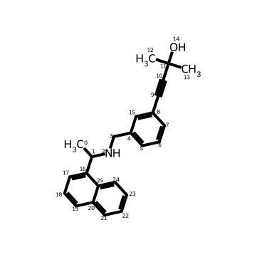 CC(NCc1cccc(C#CC(C)(C)O)c1)c1cccc2ccccc12